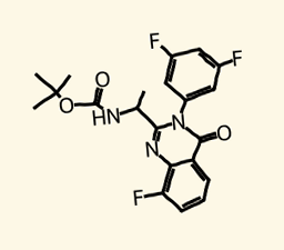 CC(NC(=O)OC(C)(C)C)c1nc2c(F)cccc2c(=O)n1-c1cc(F)cc(F)c1